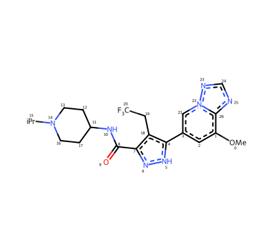 COc1cc(-c2[nH]nc(C(=O)NC3CCN(C(C)C)CC3)c2CC(F)(F)F)cn2ncnc12